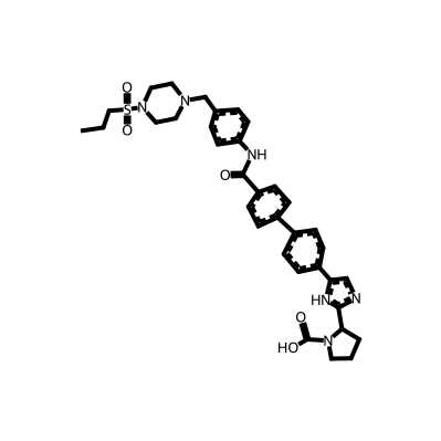 CCCS(=O)(=O)N1CCN(Cc2ccc(NC(=O)c3ccc(-c4ccc(-c5cnc(C6CCCN6C(=O)O)[nH]5)cc4)cc3)cc2)CC1